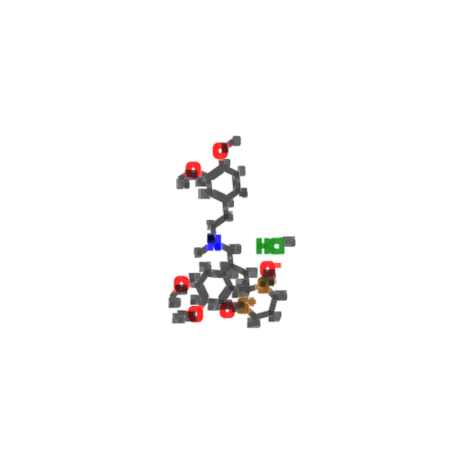 COc1ccc(CCN(C)CCCC2(c3ccc(OC)c(OC)c3)[S+]([O-])CCC[S+]2[O-])cc1OC.Cl